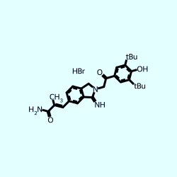 Br.C/C(=C\c1ccc2c(c1)C(=N)N(CC(=O)c1cc(C(C)(C)C)c(O)c(C(C)(C)C)c1)C2)C(N)=O